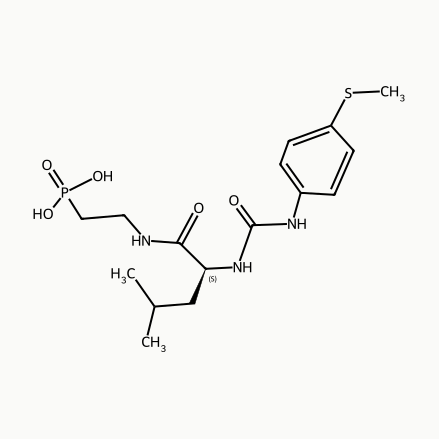 CSc1ccc(NC(=O)N[C@@H](CC(C)C)C(=O)NCCP(=O)(O)O)cc1